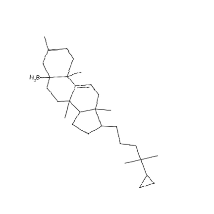 BC12CCC3(C)C(=CCC4(C)C(CCCC(C)(C)C5CC5)CCC34)C1(C)CCC(C)C2